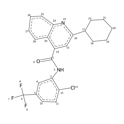 O=C(Nc1cc(C(F)(F)F)ccc1Cl)c1cc(C2CCCCC2)nc2ccccc12